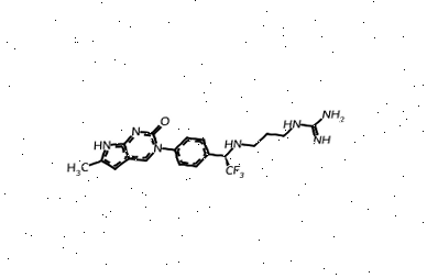 Cc1cc2cn(-c3ccc([C@@H](NCCCNC(=N)N)C(F)(F)F)cc3)c(=O)nc2[nH]1